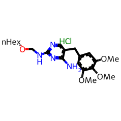 CCCCCCOCNc1ncc(Cc2cc(OC)c(OC)c(OC)c2)c(N)n1.Cl